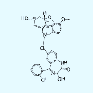 COc1ccc2c3c1O[C@H]1C[C@@H](O)C=C[C@@]31CCN(C)C2.O=C1Nc2ccc(Cl)cc2C(c2ccccc2Cl)=NC1O